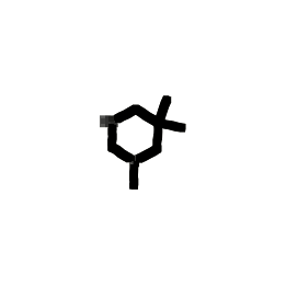 CN1CNCC(C)(C)C1